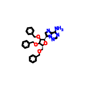 Nc1ncnn2c([C@@H]3O[C@H](COCc4ccccc4)C(OCc4ccccc4)C3OCc3ccccc3)cnc12